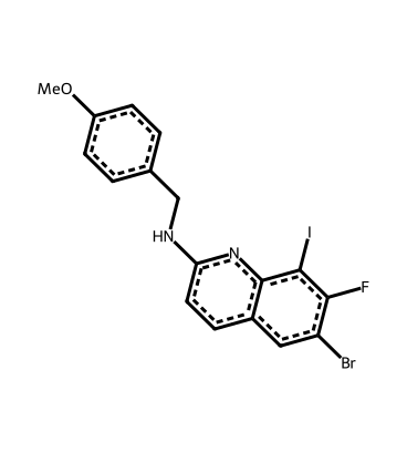 COc1ccc(CNc2ccc3cc(Br)c(F)c(I)c3n2)cc1